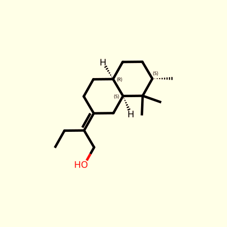 CCC(CO)=C1CC[C@H]2CC[C@H](C)C(C)(C)[C@H]2C1